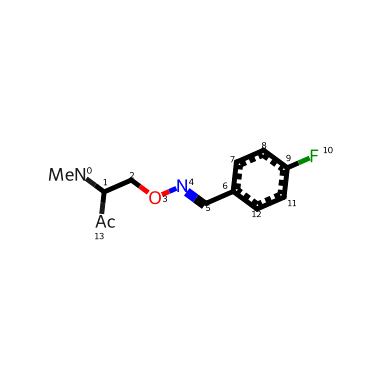 CNC(CO/N=C/c1ccc(F)cc1)C(C)=O